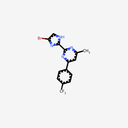 Cc1cc(-c2ccc(C(F)(F)F)cc2)nc(-c2nc(Br)c[nH]2)n1